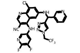 N#Cc1cnc2c(Cl)cc(NC(c3cccnc3)c3cn(CC(F)(F)F)nn3)cc2c1Nc1cnc(F)c(F)c1